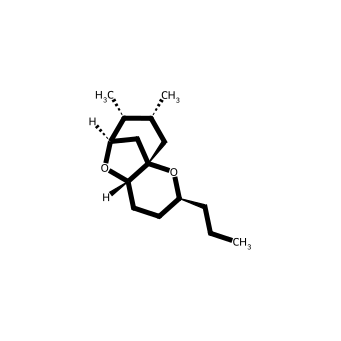 CCC[C@H]1CC[C@@H]2O[C@@H]3C[C@]2(C[C@@H](C)[C@H]3C)O1